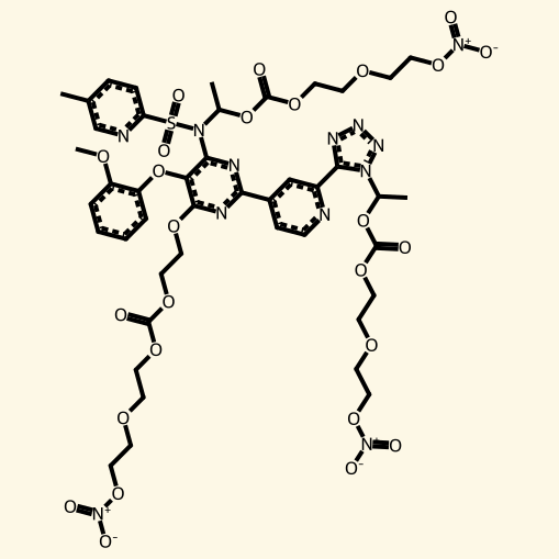 COc1ccccc1Oc1c(OCCOC(=O)OCCOCCO[N+](=O)[O-])nc(-c2ccnc(-c3nnnn3C(C)OC(=O)OCCOCCO[N+](=O)[O-])c2)nc1N(C(C)OC(=O)OCCOCCO[N+](=O)[O-])S(=O)(=O)c1ccc(C)cn1